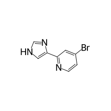 Brc1ccnc(-c2c[nH]cn2)c1